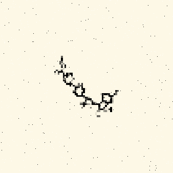 CCOC(=O)N1CCN(c2ccc(C3=CC(=C4C(=O)Nc5cc(F)ccc54)OC3(C)C)cn2)CC1